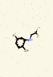 N#Cc1ccc(Br)cc1NCC(F)F